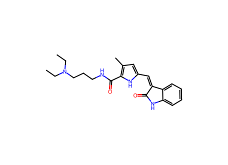 CCN(CC)CCCNC(=O)c1[nH]c(/C=C2\C(=O)Nc3ccccc32)cc1C